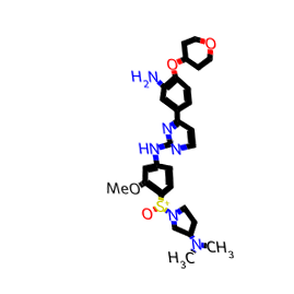 COc1cc(Nc2nccc(-c3ccc(OC4CCOCC4)c(N)c3)n2)ccc1[S+]([O-])N1CCC(N(C)C)C1